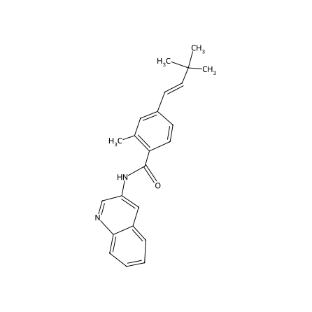 Cc1cc(C=CC(C)(C)C)ccc1C(=O)Nc1cnc2ccccc2c1